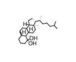 CC(C)CCC[C@@H](C)[C@H]1CC[C@H]2[C@@H]3CC=C4CCCC(O)(O)[C@]4(C)[C@H]3CC[C@]12C